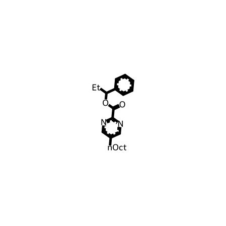 CCCCCCCCc1cnc(C(=O)OC(CC)c2ccccc2)nc1